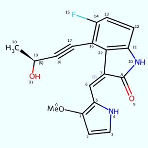 COc1cc[nH]c1/C=C1\C(=O)Nc2ccc(F)c(C#C[C@H](C)O)c21